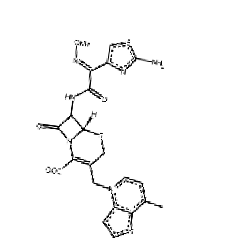 CON=C(C(=O)NC1C(=O)N2C(C(=O)[O-])=C(C[n+]3ccc(C)c4sccc43)CS[C@@H]12)c1csc(N)n1